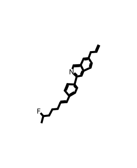 C=CCc1ccc2cc(-c3ccc(C=CCCCC(C)F)cc3)ncc2c1